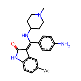 CC(=O)c1ccc2c(c1)/C(=C(/NC1CCN(C)CC1)c1ccc(N)cc1)C(=O)N2